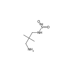 CC(C)(CN)CN[SH](=O)=O